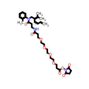 C=C/C=C\C(CN(C(=O)CCNC(=O)CCOCCOCCOCCOCCC(=O)ON1C(=O)CCC1=O)c1ccccc1C)=C(C)C